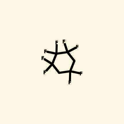 FC1(F)CC(F)(F)C(F)(F)C(F)(F)C1